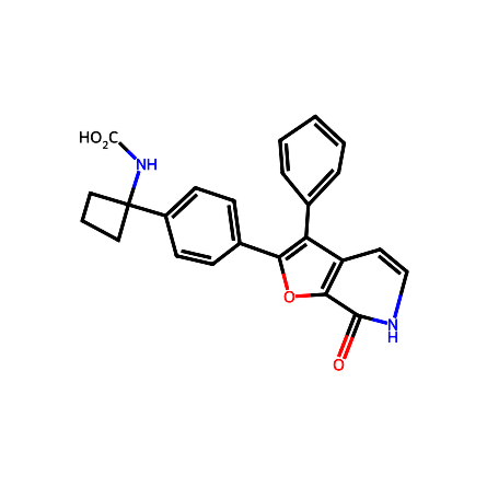 O=C(O)NC1(c2ccc(-c3oc4c(=O)[nH]ccc4c3-c3ccccc3)cc2)CCC1